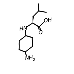 CC(C)C[C@H](NC1CCC(N)CC1)C(=O)O